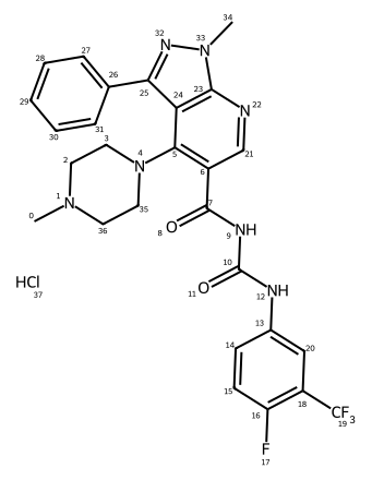 CN1CCN(c2c(C(=O)NC(=O)Nc3ccc(F)c(C(F)(F)F)c3)cnc3c2c(-c2ccccc2)nn3C)CC1.Cl